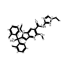 CCn1cnc(NC(=O)c2cc3c(cc(C(O)(c4ccccc4C)c4ccccc4C)n3CC)nc2OC)n1